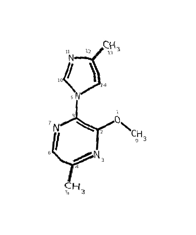 COc1nc(C)cnc1-n1cnc(C)c1